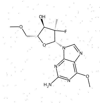 COC[C@H]1O[C@@H](n2cnc3c(OC)nc(N)nc32)[C@](C)(F)[C@@H]1O